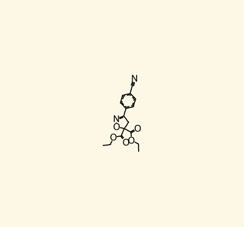 CCOC(=O)C1(C(=O)OCC)CC(c2ccc(C#N)cc2)=NO1